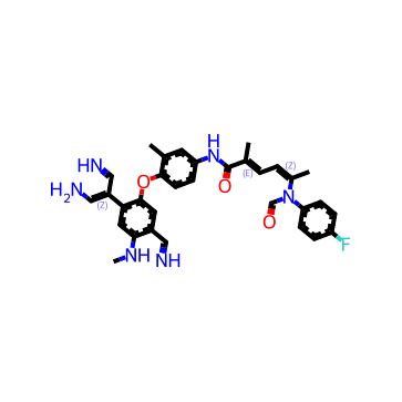 CNc1cc(/C(C=N)=C/N)c(Oc2ccc(NC(=O)/C(C)=C/C=C(/C)N(C=O)c3ccc(F)cc3)cc2C)cc1C=N